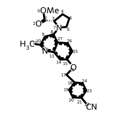 COC(=O)[C@@H]1CCCN1c1cc(C)nc2cc(OCc3ccc(C#N)cc3)ccc12